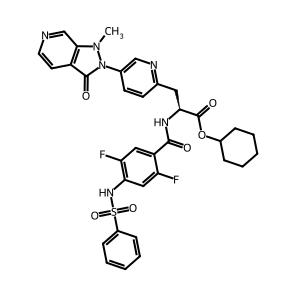 Cn1c2cnccc2c(=O)n1-c1ccc(C[C@H](NC(=O)c2cc(F)c(NS(=O)(=O)c3ccccc3)cc2F)C(=O)OC2CCCCC2)nc1